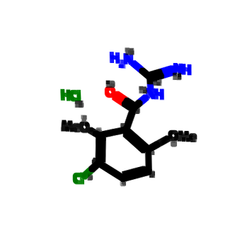 COc1ccc(Cl)c(OC)c1C(=O)NC(=N)N.Cl